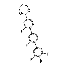 Fc1cc(-c2ccc(C3OCCCO3)cc2F)ccc1-c1cc(F)c(F)c(F)c1